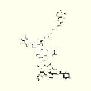 CCC(CC(C)C(=O)OCCCNC(=O)CCC(=O)OC1CC(n2cc(C)c(=O)[nH]c2=O)OC1COP(=O)(OCCC#N)OC1CC(n2cc(C)c(=O)[nH]c2=O)OC1COP(=O)(OCCC#N)OC1CC(n2cnc3c(NC(=O)c4ccccc4)ncnc32)OC1CO)C(=O)N(C)C